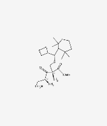 COC(=O)[C@@](N)(CSC(C1CCC1)C1C(C)(C)CCCC1(C)C)C(=O)[C@@H](N)CC(=O)O